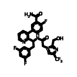 NC(=O)c1cc(-c2cccnc2C(Cc2cc(F)cc(F)c2)NC(=O)Cn2cc(C(F)(F)F)nc2CO)ccc1F